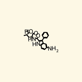 CSC(C)C[C@H](NC(=O)c1[nH]c2ccc(N)cc2c1-c1ccccc1)C(=O)O